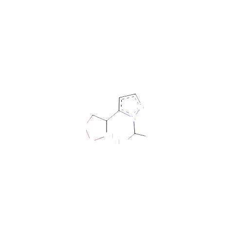 CC(C)n1nccc1C1BOOC1